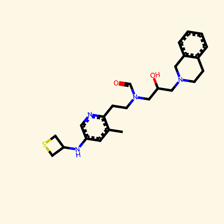 Cc1cc(NC2CSC2)cnc1CCN(C=O)CC(O)CN1CCc2ccccc2C1